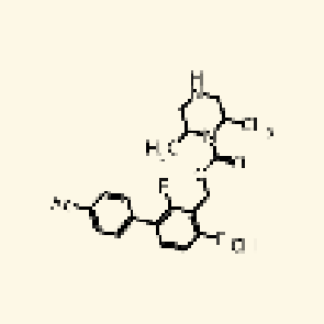 CC(=O)c1ccc(-c2ccc(F)c(COC(=O)N3C(C)CNCC3C)c2F)cc1.Cl